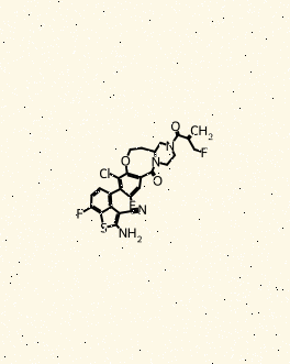 C=C(CF)C(=O)N1CCN2C(=O)c3cc(F)c(-c4ccc(F)c5sc(N)c(C#N)c45)c(Cl)c3OCCC2C1